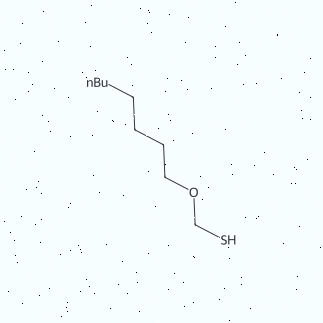 [CH2]CCCCCCCOCS